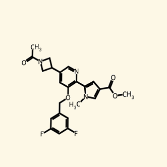 COC(=O)c1cc(-c2ncc(C3CN(C(C)=O)C3)cc2OCc2cc(F)cc(F)c2)n(C)c1